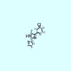 Cc1[nH]c(-c2cccs2)nc1-c1cccc(Cl)c1